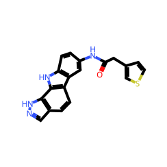 O=C(Cc1ccsc1)Nc1ccc2[nH]c3c(ccc4cn[nH]c43)c2c1